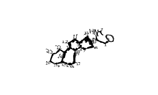 C1COCN1.c1ccc2c(c1)ccc1c3c(ccc12)CCCC3